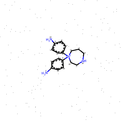 Nc1ccc([N+]2(c3ccc(N)cc3)CCCNCC2)cc1